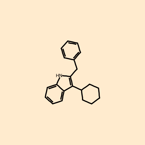 c1ccc(Cc2[nH]c3ccccc3c2C2CCCCC2)cc1